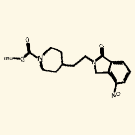 CC(C)(C)OC(=O)N1CCC(CCN2Cc3c(N=O)cccc3C2=O)CC1